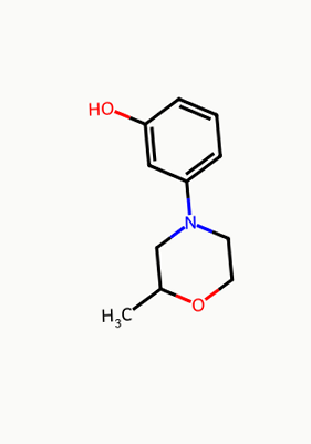 CC1CN(c2cccc(O)c2)CCO1